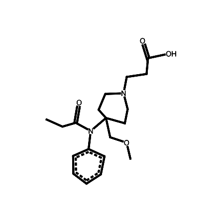 CCC(=O)N(c1ccccc1)C1(COC)CCN(CCC(=O)O)CC1